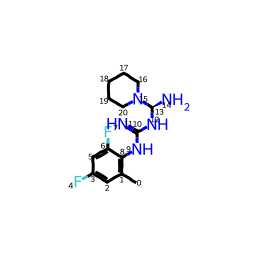 Cc1cc(F)cc(F)c1NC(=N)N[C@H](N)N1CCCCC1